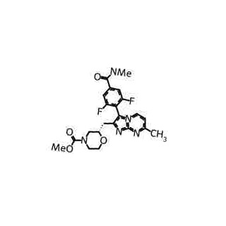 CNC(=O)c1cc(F)c(-c2c(C[C@H]3CN(C(=O)OC)CCO3)nc3nc(C)ccn23)c(F)c1